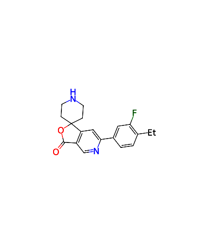 CCc1ccc(-c2cc3c(cn2)C(=O)OC32CCNCC2)cc1F